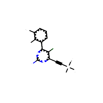 Cc1c(C#N)cccc1-c1nc(N)nc(C#C[Si](C(C)C)(C(C)C)C(C)C)c1F